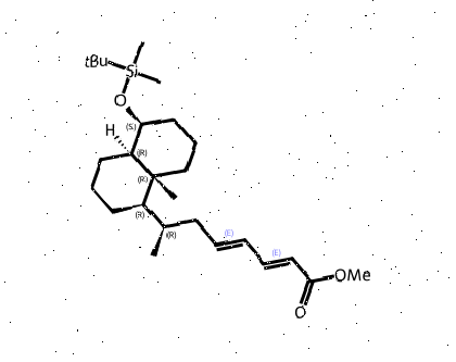 COC(=O)/C=C/C=C/C[C@@H](C)[C@H]1CCC[C@H]2[C@@H](O[Si](C)(C)C(C)(C)C)CCC[C@]12C